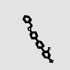 Fc1cc(Br)ccc1-c1ccc(-c2ccc(OCc3ccccc3)cc2)cc1